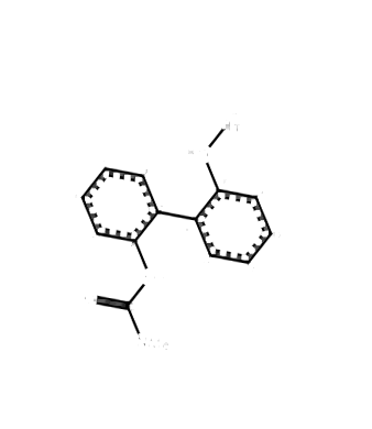 CNC(=O)Oc1ccccc1-c1ccccc1OC(C)C